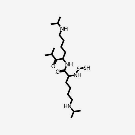 CC(C)NCCCCC(NSS)C(=O)NC(CCCCNC(C)C)C(=O)C(C)C